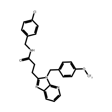 O=C(CCc1nc2cccnc2n1Cc1ccc(OC(F)(F)F)cc1)NCc1ccc(Cl)cc1